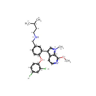 COc1nccc2c(-c3cc(CNCCC(C)C)ccc3Oc3ccc(F)cc3F)cn(C)c12